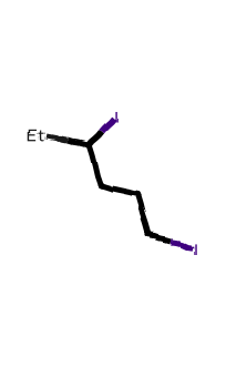 CCC(I)CCCI